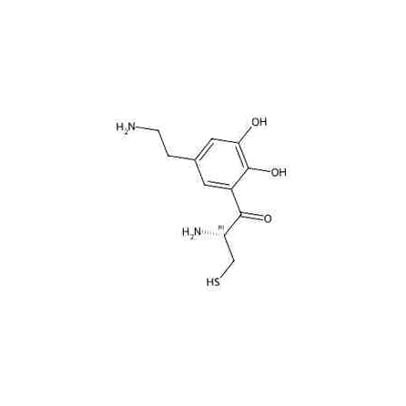 NCCc1cc(O)c(O)c(C(=O)[C@@H](N)CS)c1